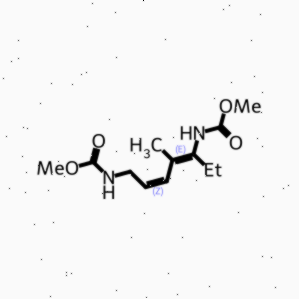 CC/C(NC(=O)OC)=C(C)\C=C/CNC(=O)OC